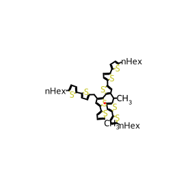 CCCCCCc1ccc(-c2ccc(Cc3cc(-c4ccc(C)s4)sc3-c3sc(-c4ccc(-c5ccc(CCCCCC)s5)s4)cc3C(C)c3ccc(-c4ccc(CCCCCC)s4)s3)s2)s1